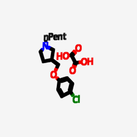 CCCCCN1CCC(COc2ccc(Cl)cc2)C1.O=C(O)C(=O)O